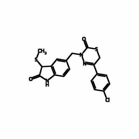 CSC1C(=O)Nc2ccc(CN3N=C(c4ccc(Cl)cc4)CSC3=O)cc21